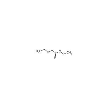 CCOCC(F)OCC